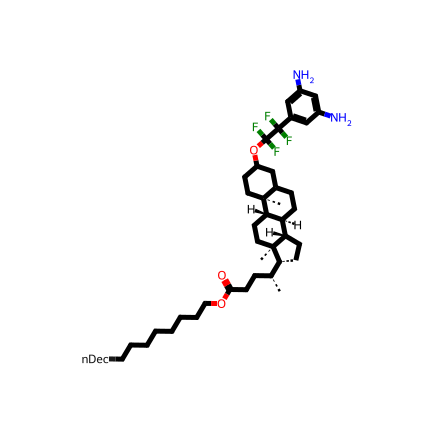 CCCCCCCCCCCCCCCCCCOC(=O)CC[C@@H](C)[C@H]1CC[C@H]2[C@@H]3CCC4CC(OC(F)(F)C(F)(F)c5cc(N)cc(N)c5)CC[C@]4(C)[C@H]3CC[C@]12C